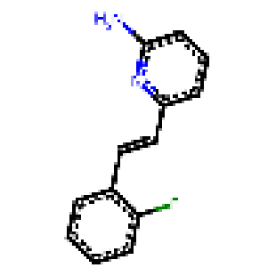 Nc1cccc(/C=C/c2ccccc2F)n1